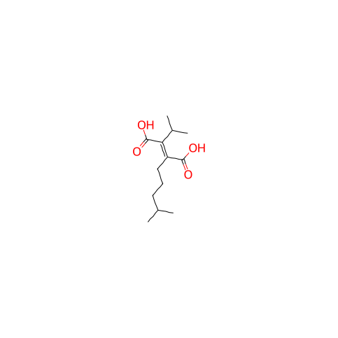 CC(C)CCCC(C(=O)O)=C(C(=O)O)C(C)C